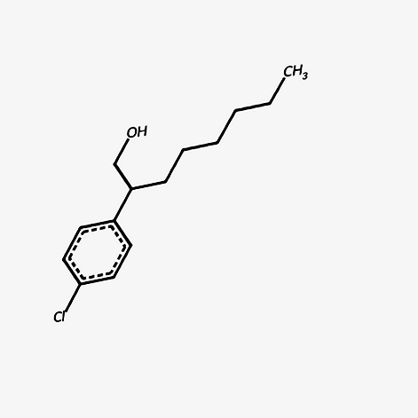 CCCCCCC(CO)c1ccc(Cl)cc1